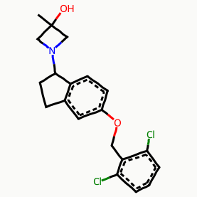 CC1(O)CN(C2CCc3cc(OCc4c(Cl)cccc4Cl)ccc32)C1